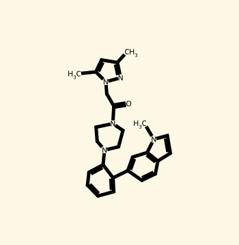 Cc1cc(C)n(CC(=O)N2CCN(c3ccccc3-c3ccc4ccn(C)c4c3)CC2)n1